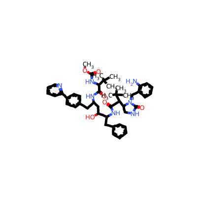 COC(=O)NC(C(=O)NC(Cc1ccc(-c2ccccn2)cc1)CC(O)C(Cc1ccccc1)NC(=O)C(C1CNC(=O)N1Cc1ccccc1N)C(C)(C)C)C(C)(C)C